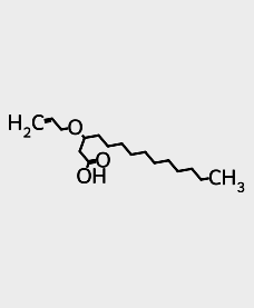 C=CCOC(CCCCCCCCCCC)CC(=O)O